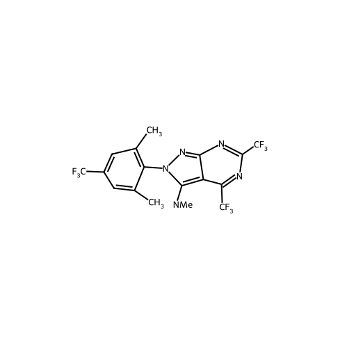 CNc1c2c(C(F)(F)F)nc(C(F)(F)F)nc2nn1-c1c(C)cc(C(F)(F)F)cc1C